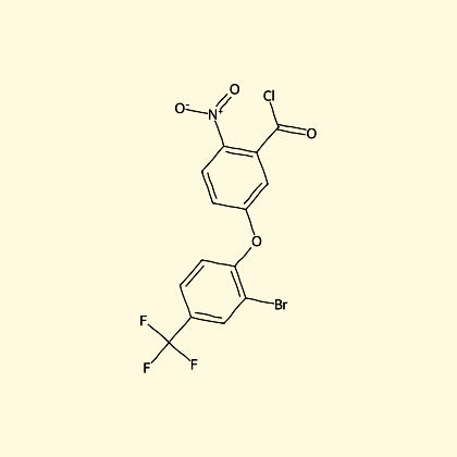 O=C(Cl)c1cc(Oc2ccc(C(F)(F)F)cc2Br)ccc1[N+](=O)[O-]